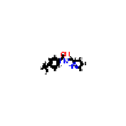 CC(C)(C)c1ccc(C(O)NCC2CCCN2)cc1